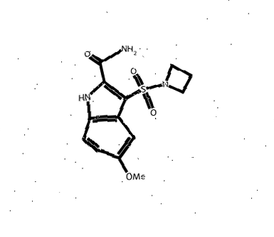 COc1ccc2[nH]c(C(N)=O)c(S(=O)(=O)N3CCC3)c2c1